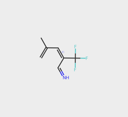 C=C(C)/C=C(\C=N)C(F)(F)F